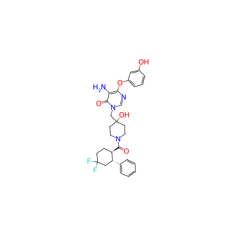 Nc1c(Oc2cccc(O)c2)ncn(CC2(O)CCN(C(=O)[C@@H]3CCC(F)(F)C[C@H]3c3ccccc3)CC2)c1=O